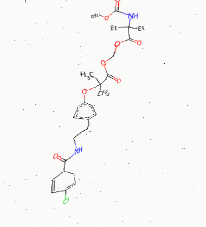 CCC(CC)(NC(=O)OC(C)(C)C)C(=O)OCOC(=O)C(C)(C)Oc1ccc(CCNC(=O)C2C=CC(Cl)=CC2)cc1